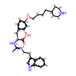 C/C(=N\CCc1c[nH]c2ccccc12)N[C@@H](Cc1ccc(OCCCCC2CCNCC2)cc1)C(=O)O